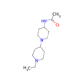 CCN1CCC(N2CCC(NC(C)=O)CC2)CC1